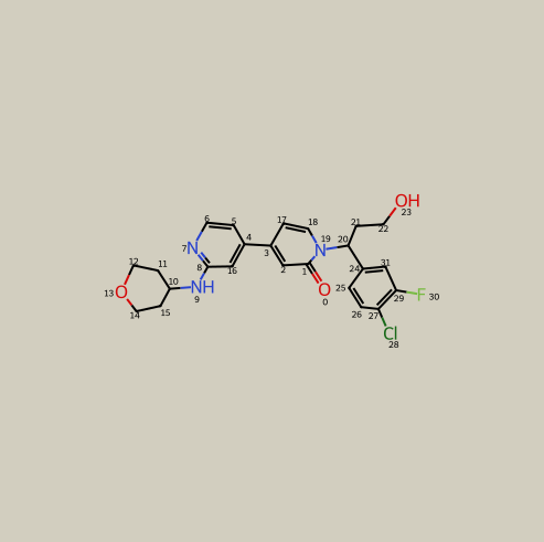 O=c1cc(-c2ccnc(NC3CCOCC3)c2)ccn1C(CCO)c1ccc(Cl)c(F)c1